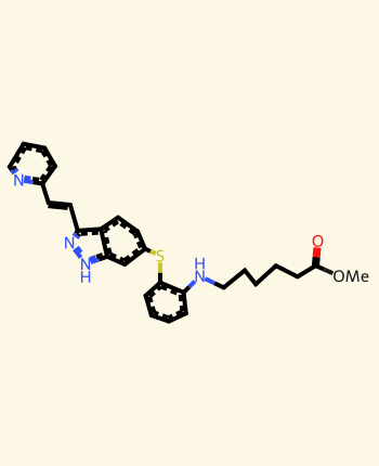 COC(=O)CCCCCNc1ccccc1Sc1ccc2c(C=Cc3ccccn3)n[nH]c2c1